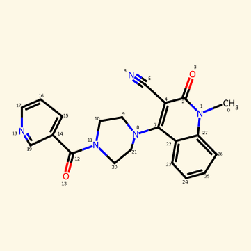 Cn1c(=O)c(C#N)c(N2CCN(C(=O)c3cccnc3)CC2)c2ccccc21